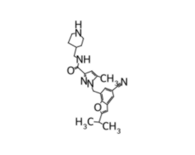 Cc1cc(C(=O)NCC2CCNCC2)nn1Cc1cc(C#N)cc2cc(C(C)C)oc12